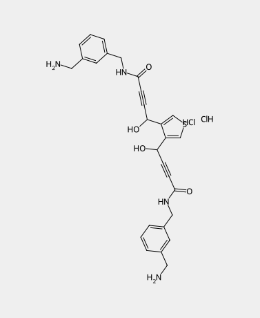 Cl.Cl.NCc1cccc(CNC(=O)C#CC(O)c2cscc2C(O)C#CC(=O)NCc2cccc(CN)c2)c1